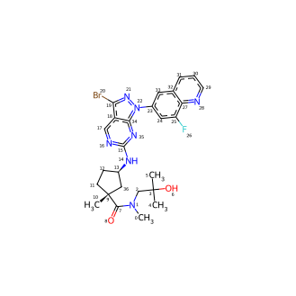 CN(CC(C)(C)O)C(=O)[C@]1(C)CC[C@@H](Nc2ncc3c(Br)nn(-c4cc(F)c5ncccc5c4)c3n2)C1